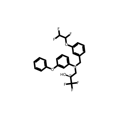 O[C@@H](CN(Cc1cccc(OC(F)C(F)F)c1)c1cccc(Oc2ccccc2)c1)C(F)(F)F